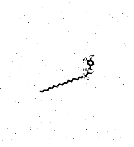 CCCCCCCCCCCCCCCCCCNC(=O)C1CSC(c2ccc(OC)c(OC)c2)N1